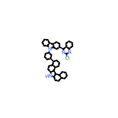 Clc1nc(-c2ccc3c4ccccc4n(-c4cccc(-c5cccc6c5ccc5[nH]c7ccc8ccccc8c7c56)c4)c3c2)c2ccccc2n1